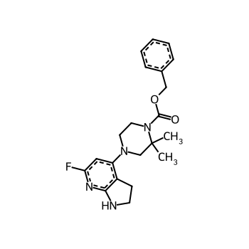 CC1(C)CN(c2cc(F)nc3c2CCN3)CCN1C(=O)OCc1ccccc1